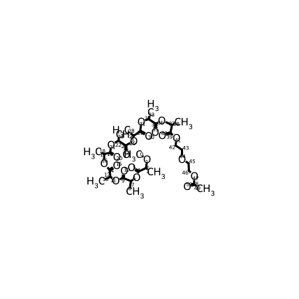 COC(C)C(=O)OC(C)C(=O)OC(C)C(=O)OC(C)C(=O)OC(C)C(=O)OC(C)C(=O)OC(C)C(=O)OC(C)C(=O)OCCOCCOC(C)=O